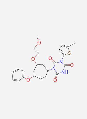 COCCOC1CC(Oc2ccccc2)CCC(n2c(=O)[nH]c(=O)n(-c3ccc(C)s3)c2=O)C1